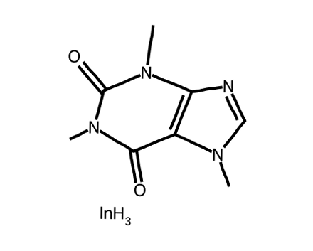 Cn1c(=O)c2c(ncn2C)n(C)c1=O.[InH3]